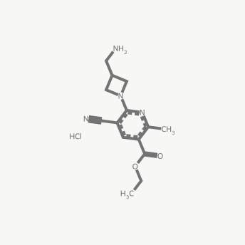 CCOC(=O)c1cc(C#N)c(N2CC(CN)C2)nc1C.Cl